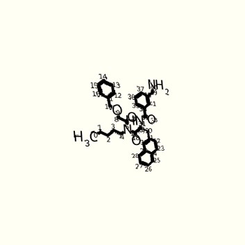 CCCCCN(C(=O)COCc1ccccc1)C(=O)[C@H](Cc1ccc2ccccc2c1)NC(=O)c1cccc(CN)c1